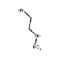 CCCCCN[N+](=O)[O-]